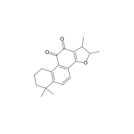 CC1OC2=C(C(=O)C(=O)c3c2ccc2c3CCCC2(C)C)C1C